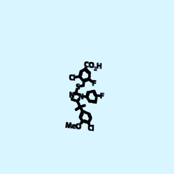 COc1cc(C(C)(C)C2CN=C(SCc3c(F)cc(C(=O)O)cc3Cl)N2c2ccc(F)cc2)ccc1Cl